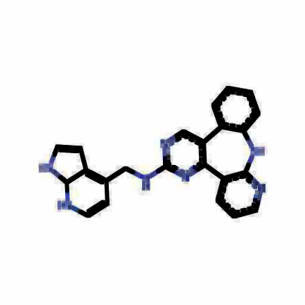 C1=CC(CNc2ncc3c(n2)-c2cccnc2Nc2ccccc2-3)=C2C=CNC2N1